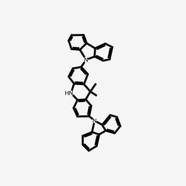 CC1(C)c2cc(-n3c4ccccc4c4ccccc43)ccc2Nc2ccc(-n3c4ccccc4c4ccccc43)cc21